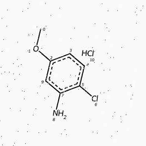 COc1ccc(Cl)c(N)c1.Cl